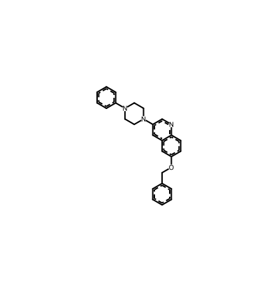 c1ccc(COc2ccc3ncc(N4CCN(c5ccccc5)CC4)cc3c2)cc1